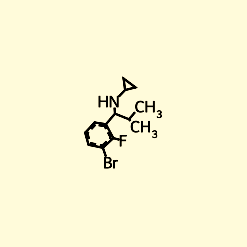 CC(C)C(NC1CC1)c1cccc(Br)c1F